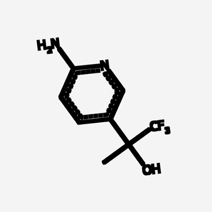 CC(O)(c1ccc(N)nc1)C(F)(F)F